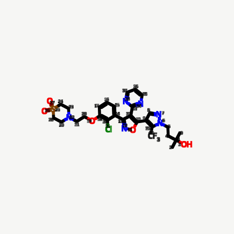 CC(C)(O)CCn1ncc(-c2onc(-c3cccc(OCCN4CCS(=O)(=O)CC4)c3Cl)c2-c2ncccn2)c1C(F)(F)F